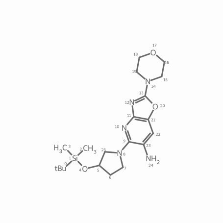 CC(C)(C)[Si](C)(C)OC1CCN(c2nc3nc(N4CCOCC4)oc3cc2N)C1